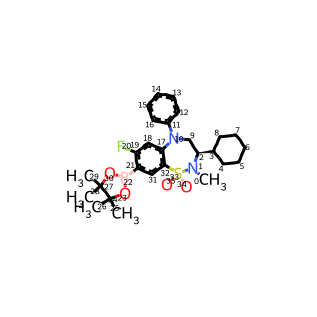 CN1[C@H](C2CCCCC2)CN(c2ccccc2)c2cc(F)c(B3OC(C)(C)C(C)(C)O3)cc2S1(=O)=O